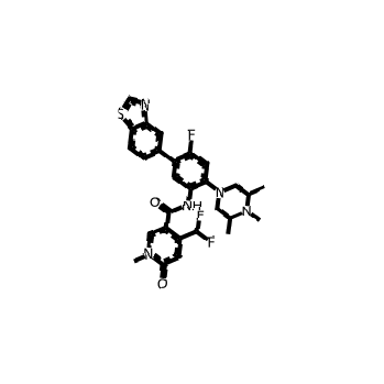 CC1CN(c2cc(F)c(-c3ccc4scnc4c3)cc2NC(=O)c2cn(C)c(=O)cc2C(F)F)CC(C)N1C